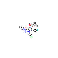 CC(C)(C)OC(=O)N1C/C(=C\c2ccc(F)cc2)c2c(c(C(=O)NN3CC4CCCC4C3)nn2-c2ccc(Cl)cc2)C1